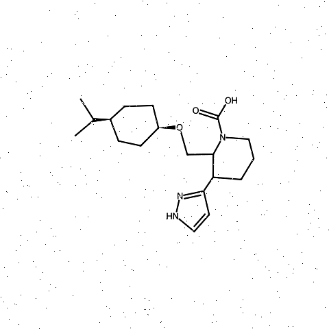 CC(C)[C@H]1CC[C@@H](OCC2C(c3cc[nH]n3)CCCN2C(=O)O)CC1